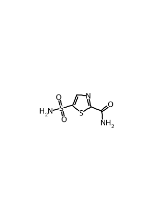 NC(=O)c1ncc(S(N)(=O)=O)s1